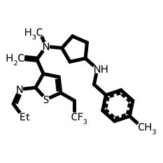 C=C(C1C=C(CC(F)(F)F)SC1/N=C\CC)N(C)C1CCC(NCc2ccc(C)cc2)C1